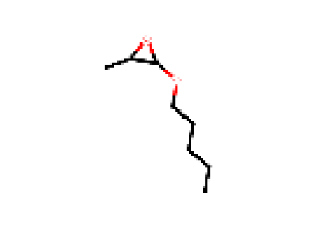 CCCCCOC1OC1C